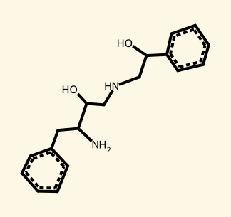 NC(Cc1ccccc1)C(O)CNCC(O)c1ccccc1